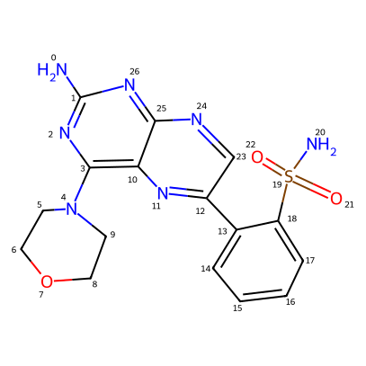 Nc1nc(N2CCOCC2)c2nc(-c3ccccc3S(N)(=O)=O)cnc2n1